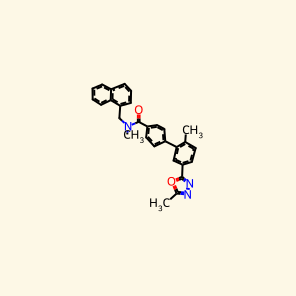 Cc1nnc(-c2ccc(C)c(-c3ccc(C(=O)N(C)Cc4cccc5ccccc45)cc3)c2)o1